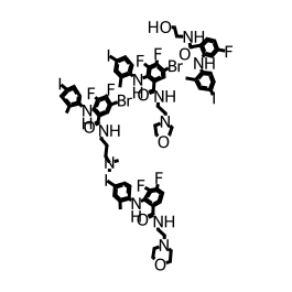 Cc1cc(I)ccc1Nc1c(C(=O)NCCCN(C)C)cc(Br)c(F)c1F.Cc1cc(I)ccc1Nc1c(C(=O)NCCN2CCOCC2)cc(Br)c(F)c1F.Cc1cc(I)ccc1Nc1c(C(=O)NCCN2CCOCC2)ccc(F)c1F.Cc1cc(I)ccc1Nc1cc(F)ccc1C(=O)NCCO